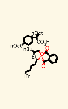 C=C(C(=O)O)C1(CCCCCCCC)CCC(CCCCCCCC)CC1.CCCCC(CC)COC(=O)c1ccccc1C(=O)OCCCCCC(C)C